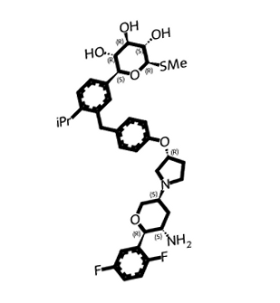 CS[C@H]1O[C@@H](c2ccc(C(C)C)c(Cc3ccc(O[C@@H]4CCN([C@@H]5CO[C@H](c6cc(F)ccc6F)[C@@H](N)C5)C4)cc3)c2)[C@H](O)[C@@H](O)[C@@H]1O